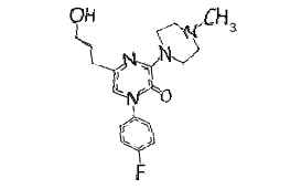 CN1CCN(c2nc(CCCO)cn(-c3ccc(F)cc3)c2=O)CC1